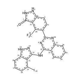 O=c1[nH][nH]c2ccc(-c3nc(Nc4n[nH]c5cccc(I)c45)c4ccccc4n3)c(C(F)(F)F)c12